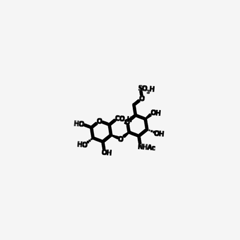 CC(=O)NC1[C@@H](O[C@@H]2C(C(=O)O)OC(O)[C@@H](O)C2O)OC(COS(=O)(=O)O)[C@@H](O)[C@@H]1O